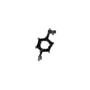 CCc1ccc(S(=O)(=O)O)cc1